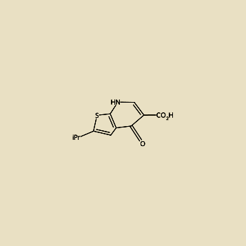 CC(C)c1cc2c(=O)c(C(=O)O)c[nH]c2s1